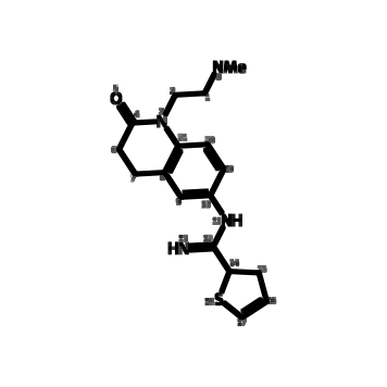 CNCCN1C(=O)CCc2cc(NC(=N)C3CC=CS3)ccc21